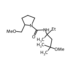 CCC(C)(CC(C)(C)OC)NC(=O)N1CCCC1COC